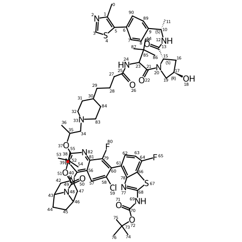 Cc1ncsc1-c1ccc([C@H](C)NC(=O)[C@@H]2C[C@@H](O)CN2C(=O)C(NC(=O)CCCC2CCN(CC(C)Oc3nc(N4CC5CCC(C4)N5C(=O)OC(C)(C)C)c4cc(Cl)c(-c5ccc(F)c6sc(NC(=O)OC(C)(C)C)nc56)c(F)c4n3)CC2)C(C)(C)C)cc1